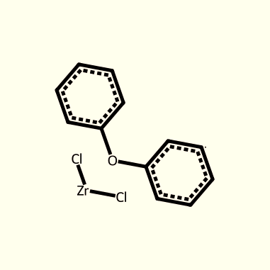 [Cl][Zr][Cl].[c]1cccc(Oc2ccccc2)c1